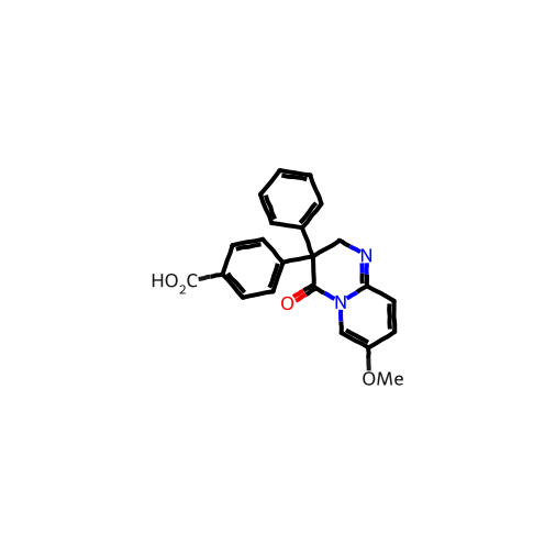 COC1=CN2C(=O)C(c3ccccc3)(c3ccc(C(=O)O)cc3)CN=C2C=C1